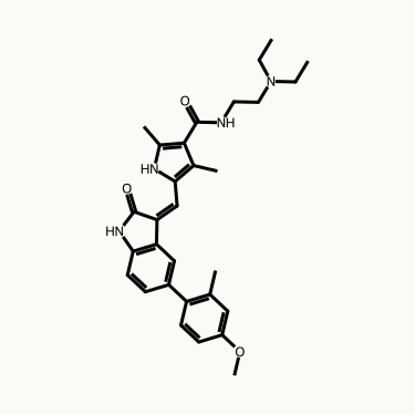 CCN(CC)CCNC(=O)c1c(C)[nH]c(/C=C2\C(=O)Nc3ccc(-c4ccc(OC)cc4C)cc32)c1C